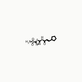 NS(=O)(=O)c1nnc(NC(=O)C=CC2CCCC2)s1